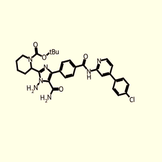 CC(C)(C)OC(=O)N1CCCCC1c1nc(-c2ccc(C(=O)Nc3cc(-c4ccc(Cl)cc4)ccn3)cc2)c(C(N)=O)n1N